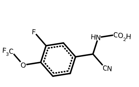 N#CC(NC(=O)O)c1ccc(OC(F)(F)F)c(F)c1